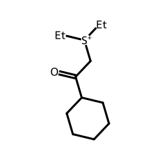 CC[S+](CC)CC(=O)C1CCCCC1